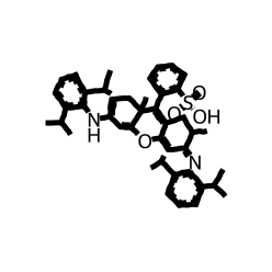 CC1CC2=C(c3ccccc3S(=O)(=O)O)C3(C)CC=C(Nc4c(C(C)C)cccc4C(C)C)C=C3OC2=C/C1=N\c1c(C(C)C)cccc1C(C)C